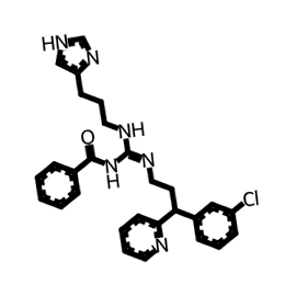 O=C(NC(=NCCC(c1cccc(Cl)c1)c1ccccn1)NCCCc1c[nH]cn1)c1ccccc1